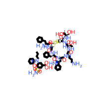 CC(O)[C@@H]1NC(=O)[C@H](CCCCN)NC(=O)[C@@H](Cc2c[nH]c3ccccc23)NC(=O)[C@H](Cc2ccccc2)NC(=O)[C@@H](NC(=O)[C@H](N)Cc2ccccc2)CSSC[C@@H](C(=O)N[C@H](CO)[C@@H](C)O)NC1=O.CCCCNc1cc(C(=O)O)cc(S(N)(=O)=O)c1Oc1ccccc1